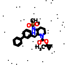 CC1(OC(=O)N2CCC[C@H](NS(C)(=O)=O)[C@@H]2Cc2cccc(-c3ccccc3)c2)CC1